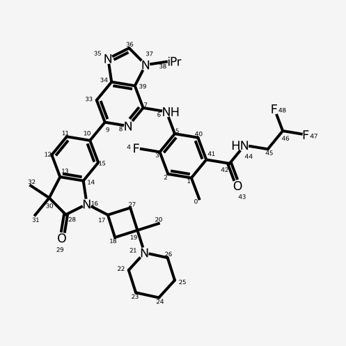 Cc1cc(F)c(Nc2nc(-c3ccc4c(c3)N(C3CC(C)(N5CCCCC5)C3)C(=O)C4(C)C)cc3ncn(C(C)C)c23)cc1C(=O)NCC(F)F